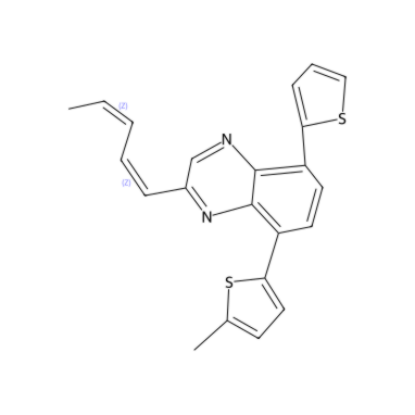 C/C=C\C=C/c1cnc2c(-c3cccs3)ccc(-c3ccc(C)s3)c2n1